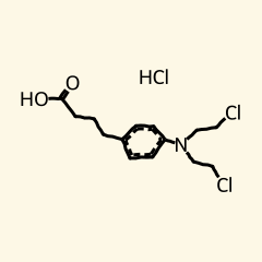 Cl.O=C(O)CCCc1ccc(N(CCCl)CCCl)cc1